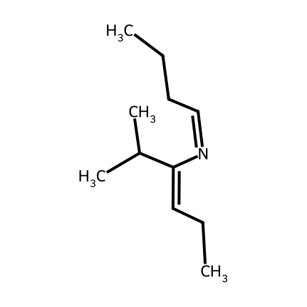 CC/C=C(\N=C/CCC)C(C)C